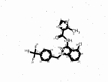 Cc1ncsc1C(=O)Nc1nn(Cc2ccc(C(F)(F)F)cc2)c2cccc(Cl)c12